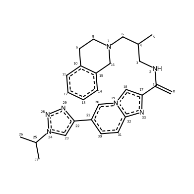 C=C(NCC(C)CN1CCc2ccccc2C1)c1cn2cc(-c3cn(C(C)C)nn3)ccc2n1